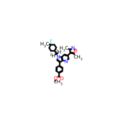 [2H]C([2H])(C1CCC(C)(F)CC1)n1cc(-c2ccc(C(=O)OC)cc2)c2ncc(-c3c(C)noc3C)cc21